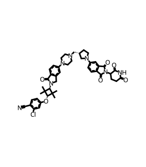 CC1(C)[C@H](Oc2ccc(C#N)c(Cl)c2)C(C)(C)[C@H]1N1Cc2cc(N3CCN(C[C@@H]4CCN(c5ccc6c(c5)C(=O)N(C5CCC(=O)NC5=O)C6=O)C4)CC3)ccc2C1=O